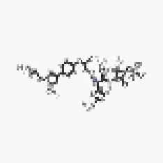 C[n+]1cc(-c2ccc(OC(CO/N=C(\C(=O)N[C@@H]3C(=O)N(OS(=O)(=O)[O-])C3(C)C)c3csc(N)n3)C(=O)O)cc2)cn1CCCN